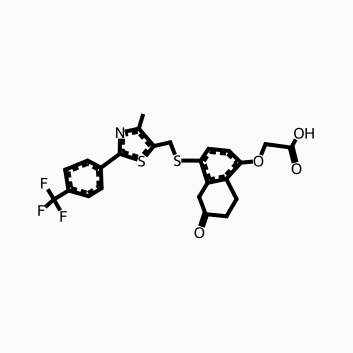 Cc1nc(-c2ccc(C(F)(F)F)cc2)sc1CSc1ccc(OCC(=O)O)c2c1CC(=O)CC2